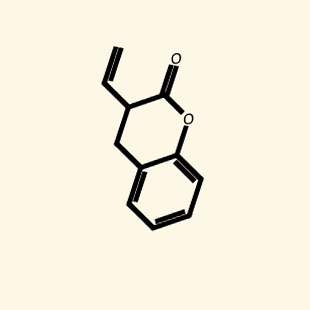 C=CC1Cc2ccccc2OC1=O